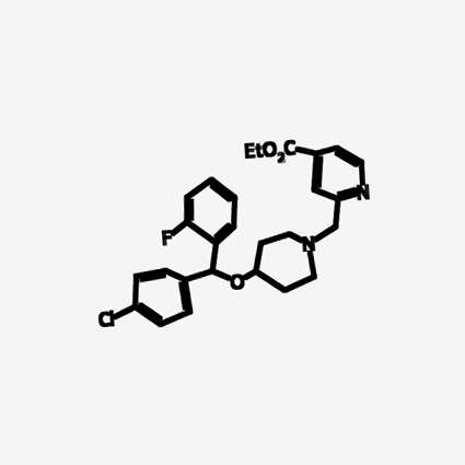 CCOC(=O)c1ccnc(CN2CCC(OC(c3ccc(Cl)cc3)c3ccccc3F)CC2)c1